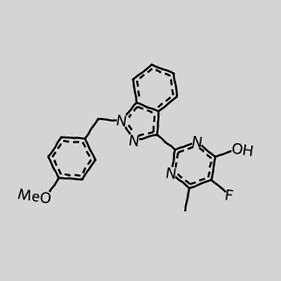 COc1ccc(Cn2nc(-c3nc(C)c(F)c(O)n3)c3ccccc32)cc1